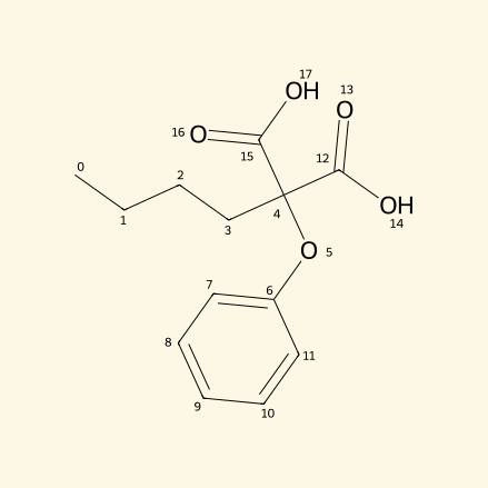 CCCCC(Oc1ccccc1)(C(=O)O)C(=O)O